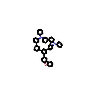 c1ccc(N(c2ccccc2)c2cccc(-c3cccc(-c4cc(-c5ccc6oc7ccccc7c6c5)cc(-c5ccc6c(c5)c5ccccc5n6-c5ccccc5)c4)c3)c2)cc1